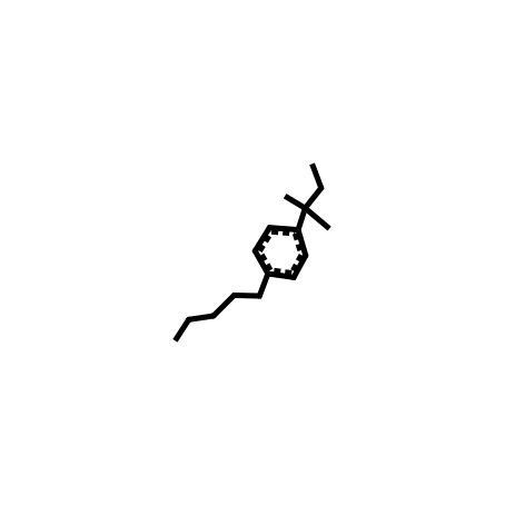 CCCCCc1ccc(C(C)(C)CC)cc1